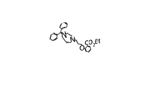 CCOC(=O)c1ccccc1OCCCN1CCCN(C(c2ccccc2)c2ccccc2)CC1